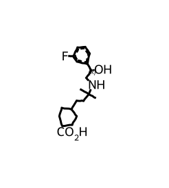 CC(C)(CCC1CCC(C(=O)O)CC1)NC[C@H](O)c1cccc(F)c1